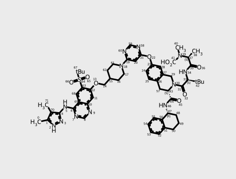 Cc1[nH]nc(Nc2ncnc3cc(OCC4CCN(c5cc(Oc6ccc7c(c6)CN(C(=O)[C@@H](NC(=O)[C@H](C)N(C)C(=O)O)C(C)(C)C)[C@H](C(=O)N[C@@H]6CCCc8ccccc86)C7)ncn5)CC4)c(S(=O)(=O)C(C)(C)C)cc23)c1C